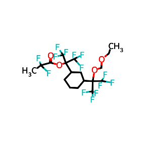 CCOCOC(C1CCCC(C(OC(=O)C(C)(F)F)(C(F)(F)F)C(F)(F)F)C1)(C(F)(F)F)C(F)(F)F